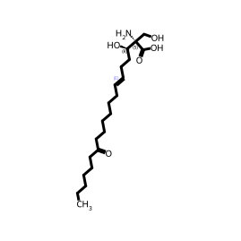 CCCCCCC(=O)CCCCCC/C=C/CC[C@@H](O)[C@@](N)(CO)C(=O)O